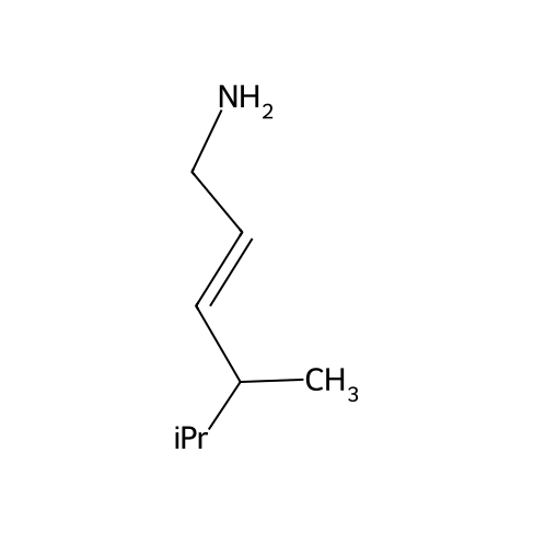 CC(C)C(C)C=CCN